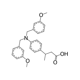 COc1cccc(CN(Cc2cccc(OC)c2)c2ccc(C(C)CC(=O)O)cc2)c1